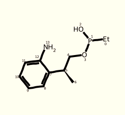 CCP(O)OC[C@@H](C)c1ccccc1N